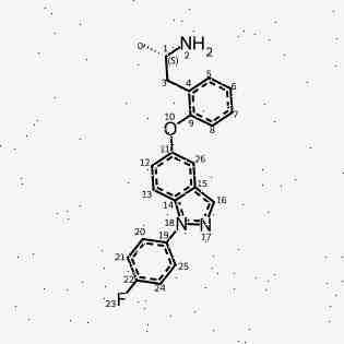 C[C@H](N)Cc1ccccc1Oc1ccc2c(cnn2-c2ccc(F)cc2)c1